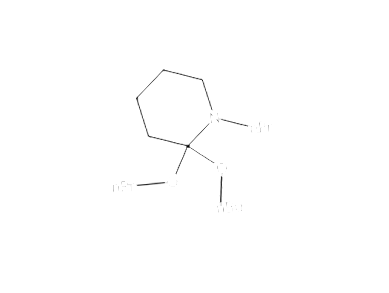 CCCCOC1(OCCC)CCCCN1CCC